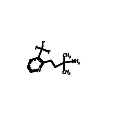 CC(C)(N)CCc1ncccc1C(F)(F)F